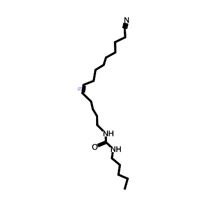 CCCCCNC(=O)NCCCC/C=C\CCCCCCCC#N